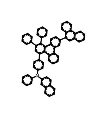 c1ccc(-c2cc(-c3ccc(N(c4ccccc4)c4ccc5ccccc5c4)cc3)c3c4ccccc4c4cc(-c5cc6ccccc6c6ccccc56)ccc4c3c2-c2ccccc2)cc1